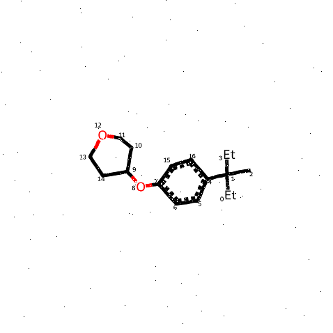 CCC(C)(CC)c1ccc(OC2CCOCC2)cc1